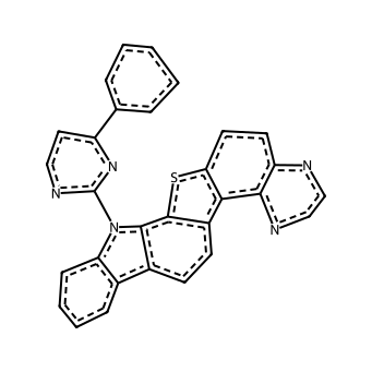 c1ccc(-c2ccnc(-n3c4ccccc4c4ccc5c(sc6ccc7nccnc7c65)c43)n2)cc1